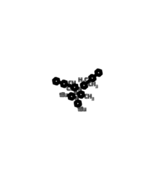 Cc1cc2c3c(c1)N(c1ccc(C(C)(C)c4ccc(-c5ccccc5)cc4)cc1)c1ccc(C(C)(C)c4ccc(-c5ccccc5)cc4)cc1B3c1cc(C(C)(C)C)ccc1N2c1ccc(C(C)(C)C)cc1